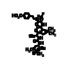 CN(C[C@@H](NC(=O)N[C@H](C(=O)N1CC2C(C1C(=O)N[C@@H](CC(F)F)C(=O)NCCc1ccc(C(=O)O)cc1)C2(C)C)C(C)(C)C)C(C)(C)C)S(C)(=O)=O